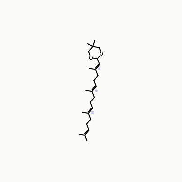 CC(C)=CCC/C(C)=C/CC/C(C)=C/CC/C(C)=C/C1OCC(C)(C)CO1